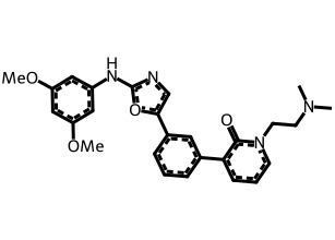 COc1cc(Nc2ncc(-c3cccc(-c4cccn(CCN(C)C)c4=O)c3)o2)cc(OC)c1